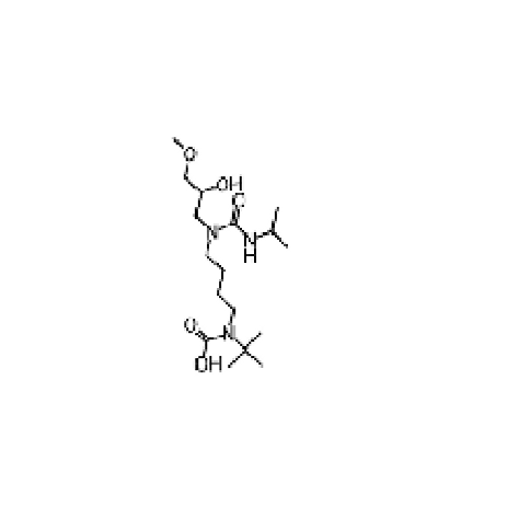 COC[C@@H](O)CN(CCCCN(C(=O)O)C(C)(C)C)C(=O)NC(C)C